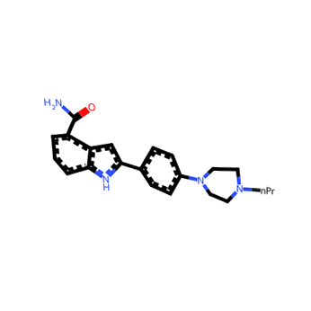 CCCN1CCN(c2ccc(-c3cc4c(C(N)=O)cccc4[nH]3)cc2)CC1